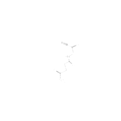 C#CC(=O)ONC(=O)CCC(N)=O